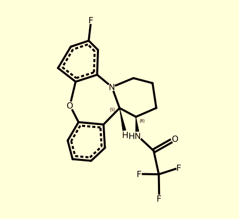 O=C(N[C@@H]1CCCN2c3cc(F)ccc3Oc3ccccc3[C@@H]12)C(F)(F)F